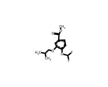 COC(=O)c1ccc(OC(F)F)c(OCC(C)C)c1